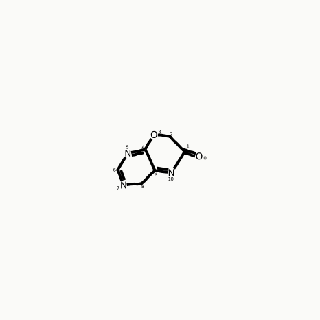 O=C1COC2=NC=NCC2=N1